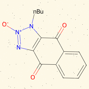 CCCCn1c2c(n[n+]1[O-])C(=O)c1ccccc1C2=O